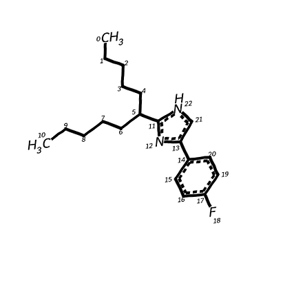 CCCCCC(CCCCC)c1nc(-c2ccc(F)cc2)c[nH]1